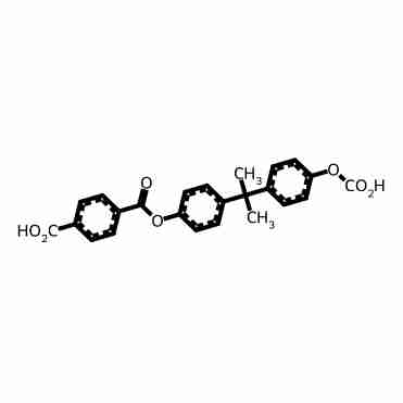 CC(C)(c1ccc(OC(=O)O)cc1)c1ccc(OC(=O)c2ccc(C(=O)O)cc2)cc1